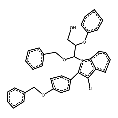 OCC(Oc1ccccc1)C(OCc1ccccc1)n1c(-c2ccc(OCc3ccccc3)cc2)c(Cl)c2ccccc21